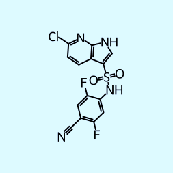 N#Cc1cc(F)c(NS(=O)(=O)c2c[nH]c3nc(Cl)ccc23)cc1F